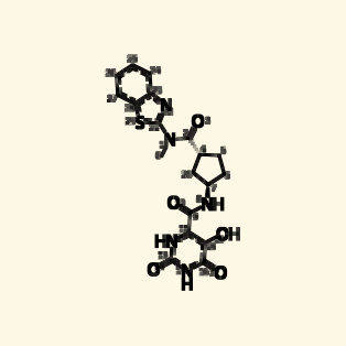 CN(C(=O)[C@@H]1CC[C@@H](NC(=O)c2[nH]c(=O)[nH]c(=O)c2O)C1)c1nc2ccccc2s1